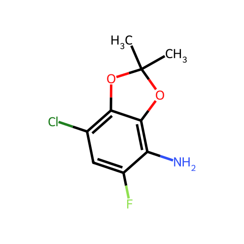 CC1(C)Oc2c(Cl)cc(F)c(N)c2O1